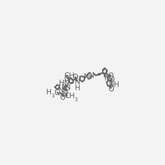 CC[C@@H]1C(=O)N(C)c2cnc(Nc3ccc(C(=O)NC4CCC(N5CCN(CCC#Cc6cccc7c6CN(C6CCC(=O)NC6=O)C7=O)CC5)CC4)cc3OC)nc2N1C1CCCC1